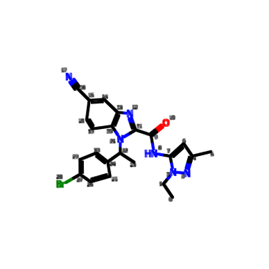 CCn1nc(C)cc1NC(=O)c1nc2cc(C#N)ccc2n1C(C)c1ccc(Br)cc1